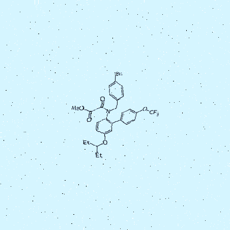 CCC(CC)Oc1ccc(N(Cc2ccc(C(C)(C)C)cc2)C(=O)C(=O)OC)c(-c2ccc(OC(F)(F)F)cc2)c1